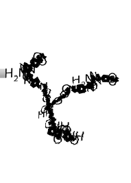 CC(C)S(=O)(=O)c1ccc(-c2cnc(N)c(-c3cc(-c4ccc(CN(C)CCOCCOCCN(CCOCCOCC(=O)N(C)Cc5ccc(-c6cc(-c7nc(-c8ccc(S(=O)(=O)C(C)C)cc8)cnc7N)on6)cc5)C(=O)CNCCCC(=O)Nc5cccc6c5C(=O)N(C5CCC(=O)NC5=O)C6=O)cc4)no3)n2)cc1